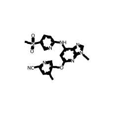 Cc1cc(C#N)ncc1Oc1cc(Nc2ccc(S(C)(=O)=O)cn2)c2ncn(C)c2n1